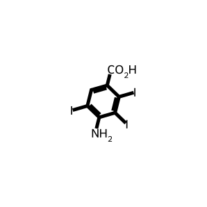 Nc1c(I)cc(C(=O)O)c(I)c1I